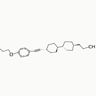 CCCOc1ccc(C#C[C@H]2CC[C@H]([C@H]3CC[C@H](CCC)CC3)CC2)cc1